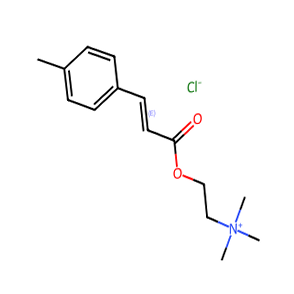 Cc1ccc(/C=C/C(=O)OCC[N+](C)(C)C)cc1.[Cl-]